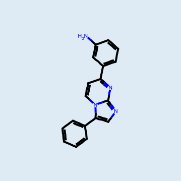 Nc1cccc(-c2ccn3c(-c4ccccc4)cnc3n2)c1